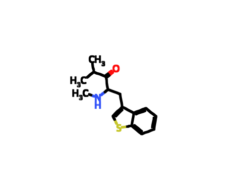 CNC(Cc1csc2ccccc12)C(=O)C(C)C